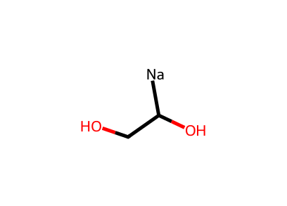 OC[CH](O)[Na]